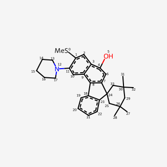 CSc1cc2c(O)cc3c(c2cc1N1CCCCC1)-c1ccccc1C31CC(C)(C)CC(C)(C)C1